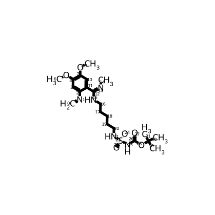 C=Nc1cc(OC)c(OC)cc1/C(=N\C)NCCCCCNS(=O)(=O)NC(=O)OC(C)(C)C